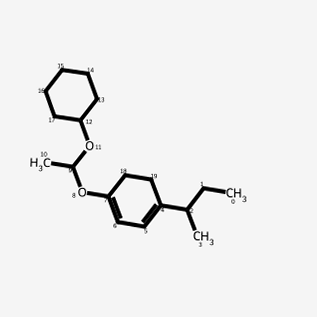 CCC(C)C1=CC=C(OC(C)OC2CCCCC2)CC1